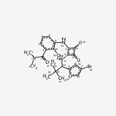 CN(C)C(=O)c1cccc(Nc2c(NC(c3cc(Br)co3)C(C)(C)C)c(=O)c2=O)c1O